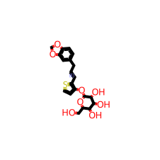 OCC1OC(Oc2ccsc2/C=C/Cc2ccc3c(c2)OCO3)C(O)C(O)C1O